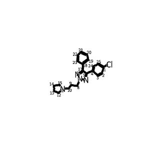 Clc1ccc(-c2nn(CCCN3CCCC3)nc2-c2ccccc2)cc1